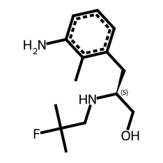 Cc1c(N)cccc1C[C@@H](CO)NCC(C)(C)F